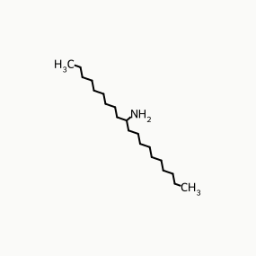 CCCCCCCCCCC(N)CCCCCCCCC